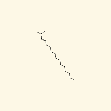 CCCCCCCCCCCCC=CC(C)C